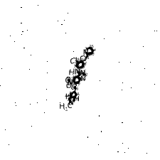 CN1C[C@H]2C[C@H](COc3cc4ncnc(Nc5ccc(OCc6ccccn6)c(Cl)c5)c4cc3[N+](=O)[O-])C[C@H]2C1